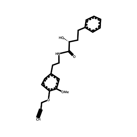 C#CCOc1ccc(CCNC(=O)[C@H](O)CCc2ccccc2)cc1OC